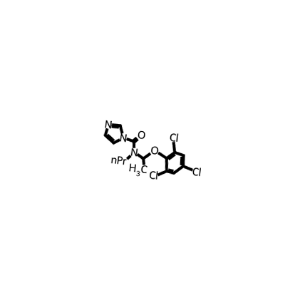 CCCN(C(=O)n1ccnc1)C(C)Oc1c(Cl)cc(Cl)cc1Cl